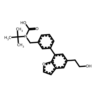 CC(C)(C)N(Cc1cccc(-c2cc(CCO)cc3ccoc23)c1)C(=O)O